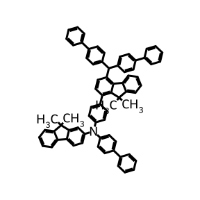 CC1(C)c2ccccc2-c2ccc(N(c3ccc(-c4ccccc4)cc3)c3ccc(-c4ccc(C(c5ccc(-c6ccccc6)cc5)c5ccc(-c6ccccc6)cc5)c5c4C(C)(C)c4ccccc4-5)cc3)cc21